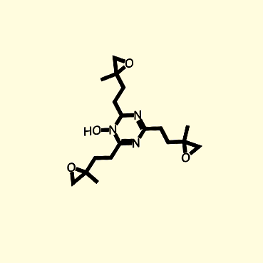 CC1(CCC2=NC(CCC3(C)CO3)N(O)C(CCC3(C)CO3)=N2)CO1